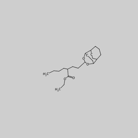 [CH2]CCCC(CC[C]1OC2CCC(O1)C1CCCC2CC1)C(=O)OCC